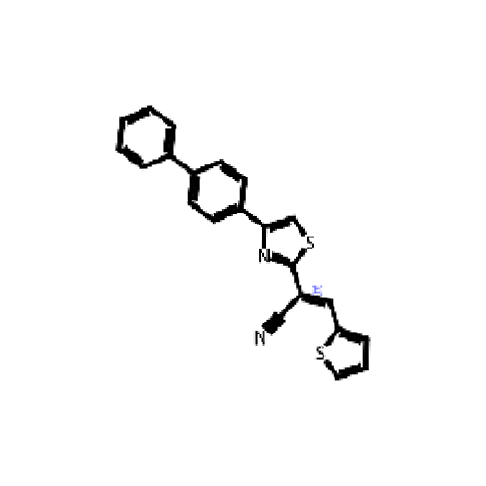 N#C/C(=C\c1cccs1)c1nc(-c2ccc(-c3ccccc3)cc2)cs1